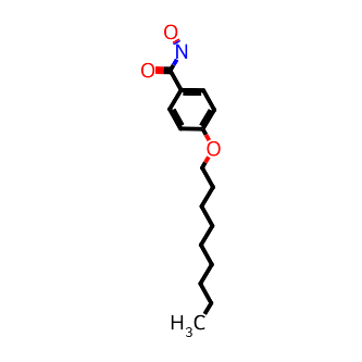 CCCCCCCCCOc1ccc(C(=O)N=O)cc1